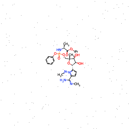 C=Nn1c(/C(N)=N\C)ccc1[C@@H]1O[C@](C)(CO[P@](=O)(N[C@@H](C)C(=O)OC(C)C)Oc2ccccc2)[C@@H](O)[C@H]1O